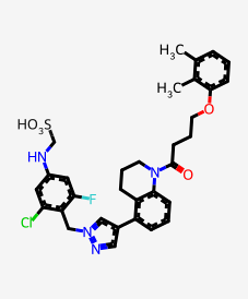 Cc1cccc(OCCCC(=O)N2CCCc3c(-c4cnn(Cc5c(F)cc(NCS(=O)(=O)O)cc5Cl)c4)cccc32)c1C